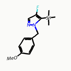 COc1ccc(Cn2ncc(F)[c]2[Sn]([CH3])([CH3])[CH3])cc1